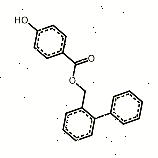 O=C(OCc1ccccc1-c1ccccc1)c1ccc(O)cc1